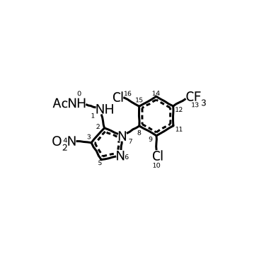 CC(=O)NNc1c([N+](=O)[O-])cnn1-c1c(Cl)cc(C(F)(F)F)cc1Cl